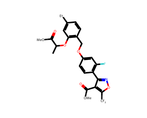 CCc1ccc(COc2ccc(-c3noc(C(F)(F)F)c3C(=O)OC)c(F)c2)c(OC(C)C(=O)OC)c1